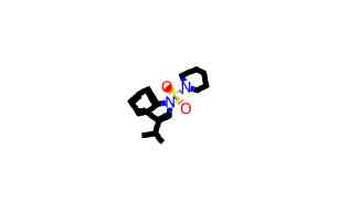 CC(C)c1cn(S(=O)(=O)N2CCCCC2)c2ccccc12